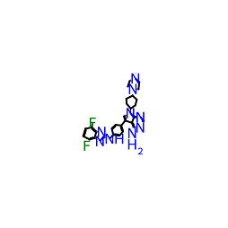 CN1CCN([C@H]2CC[C@H](n3cc(-c4ccc(Nc5nc6c(F)ccc(F)c6n5C)cc4)c4c(N)ncnc43)CC2)CC1